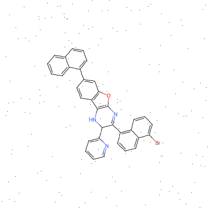 Brc1cccc2c(C3=Nc4oc5cc(-c6cccc7ccccc67)ccc5c4NC3c3ccccn3)cccc12